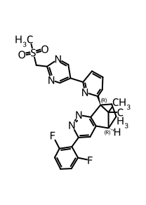 CC1(C)[C@H]2CC[C@@]1(c1cccc(-c3cnc(CS(C)(=O)=O)nc3)n1)c1nnc(-c3c(F)cccc3F)cc12